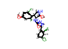 COc1cc(F)c(C2CNC(=O)C2Nc2nnc(-c3ccc(Cl)cc3F)o2)c(F)c1